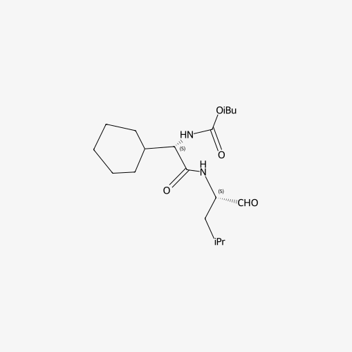 CC(C)COC(=O)N[C@H](C(=O)N[C@H](C=O)CC(C)C)C1CCCCC1